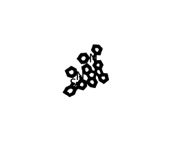 c1ccc(N(c2ccccc2)c2ccc3c(c2)C2(c4ccccc4-3)c3ccccc3-c3c(N(c4ccccc4)c4cccc5c4sc4ccccc45)cccc32)cc1